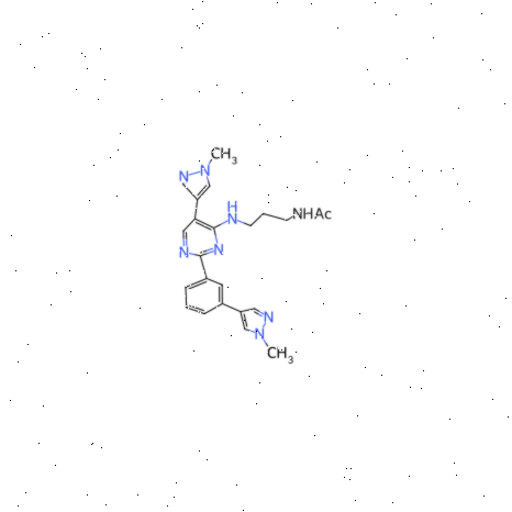 CC(=O)NCCCNc1nc(-c2cccc(-c3cnn(C)c3)c2)ncc1-c1cnn(C)c1